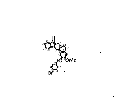 COc1cc2c(cc1OCc1ccc(Br)cc1)C1Cc3c([nH]c4ccccc34)CN1CC2